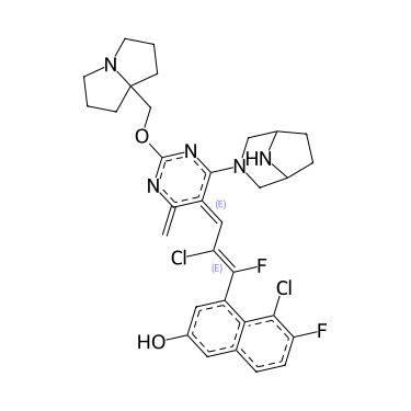 C=c1nc(OCC23CCCN2CCC3)nc(N2CC3CCC(C2)N3)/c1=C/C(Cl)=C(\F)c1cc(O)cc2ccc(F)c(Cl)c12